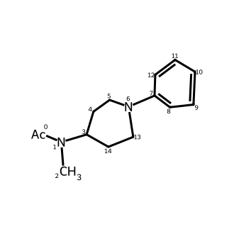 CC(=O)N(C)C1CCN(c2ccccc2)CC1